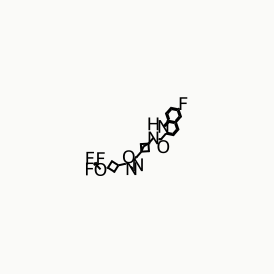 O=C(NC12CC(c3nnc(C4CC(OC(F)(F)F)C4)o3)(C1)C2)c1ccc2cc(F)ccc2n1